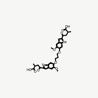 COc1cc2cc(C(=O)CC(C)C(=O)O)[se]c2cc1OCCCOc1cc2[se]c(C(=O)CC(C)C(=O)O)cc2cc1OC